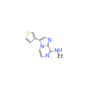 CCNc1nccn2c(-c3ccsc3)cnc12